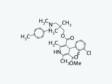 COC(=O)C1=C(C)NC(C)=C(C(=O)OCC(C)(C)CN(C)Cc2ccc(C)cc2)C1c1cccc(Cl)c1F